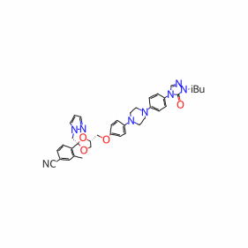 CC[C@@H](C)n1ncn(-c2ccc(N3CCN(c4ccc(OC[C@@H]5CO[C@@](Cn6cccn6)(c6ccc(C#N)cc6C)O5)cc4)CC3)cc2)c1=O